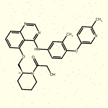 Cc1ccc(Oc2ccc(Nc3ncnc4cccc(OC[C@@H]5CCCCN5C(=O)CO)c34)cc2C)cn1